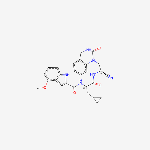 COc1cccc2[nH]c(C(=O)N[C@@H](CC3CC3)C(=O)N[C@H](C#N)CN3C(=O)NCc4ccccc43)cc12